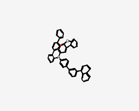 c1ccc(-c2ccc(-c3ccccc3N(c3ccc(-c4cccc(-c5cccc6ccccc56)c4)cc3)c3ccc4oc5ccccc5c4c3)cc2)cc1